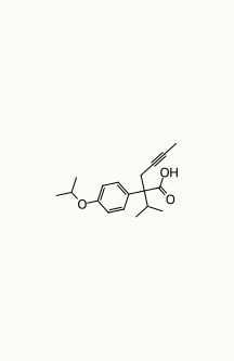 CC#CCC(C(=O)O)(c1ccc(OC(C)C)cc1)C(C)C